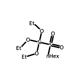 CCCCCCS(=O)(=O)[Si](OCC)(OCC)OCC